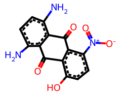 Nc1ccc(N)c2c1C(=O)c1c(O)ccc([N+](=O)[O-])c1C2=O